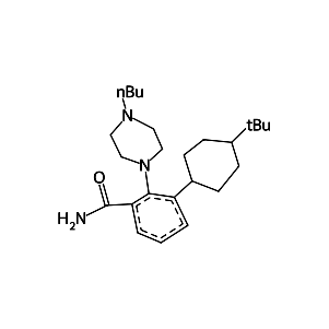 CCCCN1CCN(c2c(C(N)=O)cccc2C2CCC(C(C)(C)C)CC2)CC1